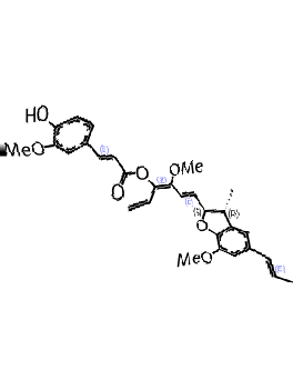 C=C/C(OC(=O)/C=C/c1ccc(O)c(OC)c1)=C(\C=C\[C@@H]1Oc2c(OC)cc(/C=C/C)cc2[C@H]1C)OC